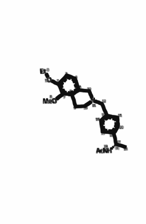 CCOc1ccc2c(c1OC)CCN(Cc1ccc([C@H](C)NC(C)=O)cc1)C2